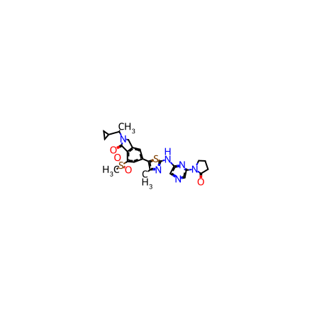 Cc1nc(Nc2cncc(N3CCCC3=O)n2)sc1-c1cc2c(c(S(C)(=O)=O)c1)C(=O)N([C@@H](C)C1CC1)C2